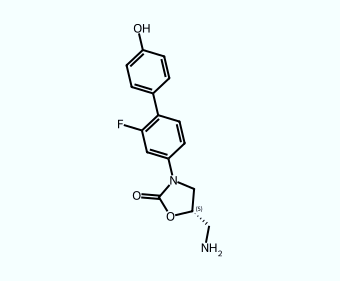 NC[C@H]1CN(c2ccc(-c3ccc(O)cc3)c(F)c2)C(=O)O1